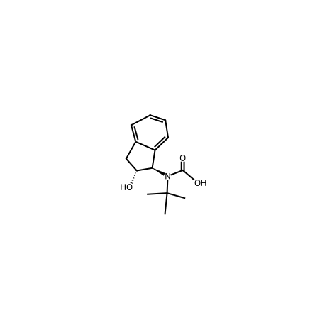 CC(C)(C)N(C(=O)O)[C@@H]1c2ccccc2C[C@H]1O